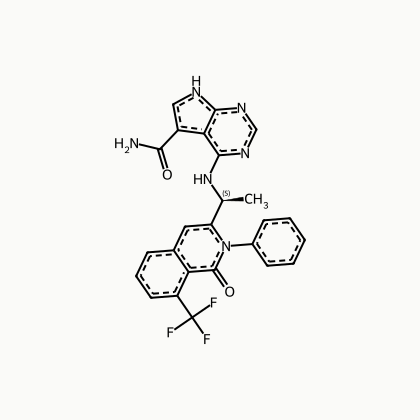 C[C@H](Nc1ncnc2[nH]cc(C(N)=O)c12)c1cc2cccc(C(F)(F)F)c2c(=O)n1-c1ccccc1